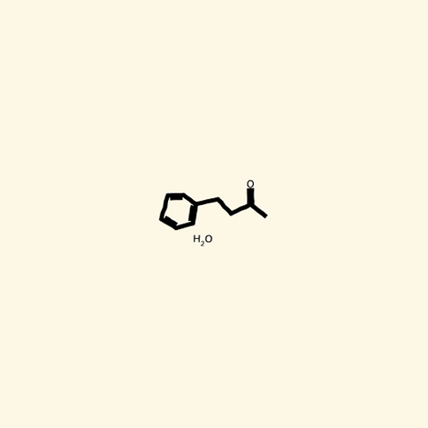 CC(=O)CCc1ccccc1.O